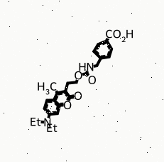 CCN(CC)c1ccc2c(C)c(CCOC(=O)NCc3ccc(C(=O)O)cc3)c(=O)oc2c1